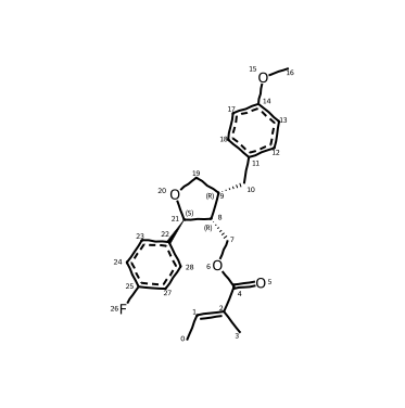 CC=C(C)C(=O)OC[C@H]1[C@@H](Cc2ccc(OC)cc2)CO[C@@H]1c1ccc(F)cc1